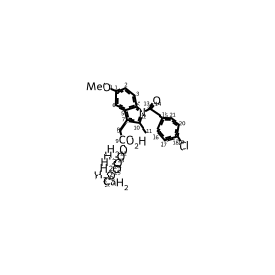 COc1ccc2c(c1)c(CC(=O)O)c(C)n2C(=O)c1ccc(Cl)cc1.O.O.O.O.O.[CaH2]